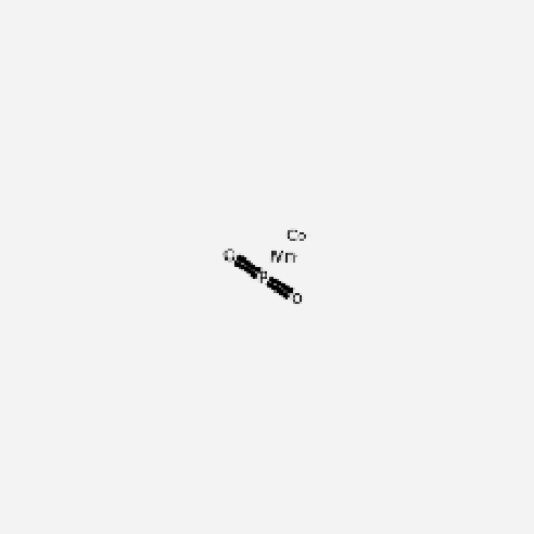 O=[P]=O.[Co].[Mn]